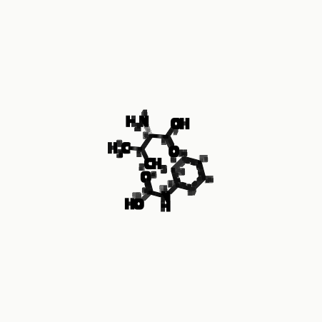 CC(C)[C@H](N)C(=O)O.O=C(O)Nc1ccccc1